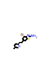 Cc1ccc(CCc2cc(Br)c3nc(N)sc3c2)nc1